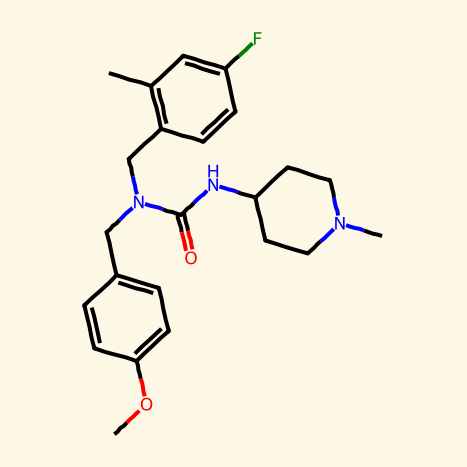 COc1ccc(CN(Cc2ccc(F)cc2C)C(=O)NC2CCN(C)CC2)cc1